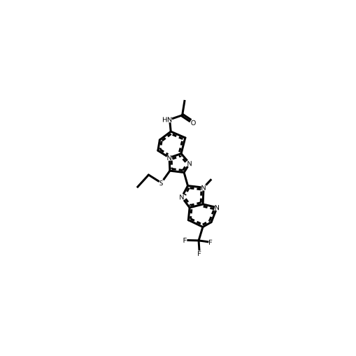 CCSc1c(-c2nc3cc(C(F)(F)F)cnc3n2C)nc2cc(NC(C)=O)ccn12